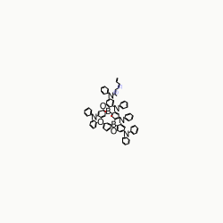 C=C/C=C\C=C(/C)N(c1ccccc1)c1cc2c3c(c1)N(c1ccccc1)c1cc4c(cc1B3c1cc3c(cc1O2)N(c1ccccc1)c1ccccc1O3)B1c2ccccc2Oc2cc(N(c3ccccc3)c3ccccc3)cc(c21)N4c1ccccc1